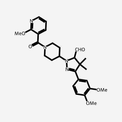 COc1ccc(C2=NN(C3CCN(C(=O)c4cccnc4OC)CC3)C(C=O)C2(C)C)cc1OC